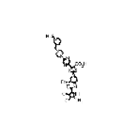 CCO[C@H]1CN(c2nc(-c3cnc(N4CCN(CC5CCCN(C)C5)CC4)cn3)c(C(=O)O)s2)CC[C@H]1NC(=O)c1[nH]c(C)c(Cl)c1Cl